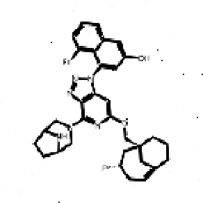 CCc1cccc2cc(O)cc(-n3nnc4c(N5CC6CCC(C5)N6)nc(OC[C@]56CCCC(=CC[C@H](F)C5)C6)cc43)c12